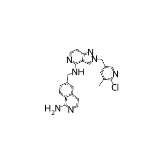 Cc1cc(Cn2cc3c(NCc4ccc5c(N)nccc5c4)nccc3n2)cnc1Cl